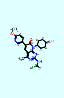 COc1ccc(-c2cc3c(C)nc(NC(F)F)nc3n(C3CCC(O)CC3)c2=O)cn1